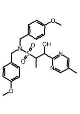 COc1ccc(CN(Cc2ccc(OC)cc2)S(=O)(=O)C(C)C(O)c2ncc(C)cn2)cc1